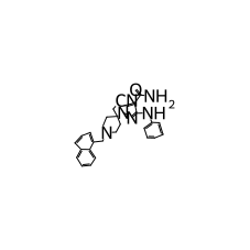 N#CCC1(n2cc(C(N)=O)c(Nc3ccccc3)n2)CCN(Cc2cccc3ccccc23)CC1